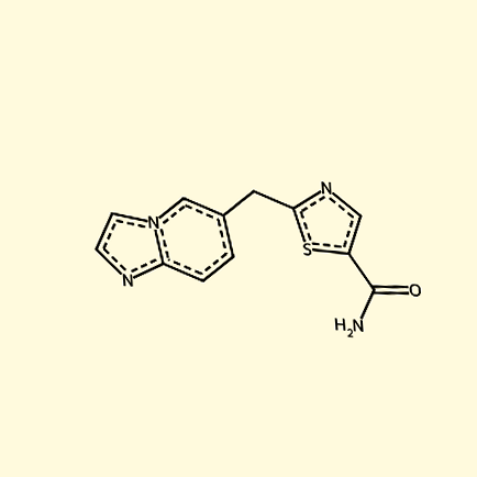 NC(=O)c1cnc(Cc2ccc3nccn3c2)s1